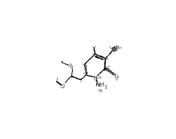 COC(Cc1cc(C)c(C#N)c(=O)n1N)OC